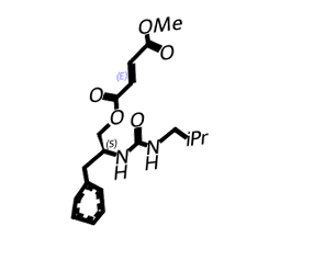 COC(=O)/C=C/C(=O)OC[C@H](Cc1ccccc1)NC(=O)NCC(C)C